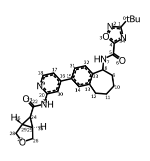 CC(C)(C)c1noc(C(=O)NC2CCCCc3cc(-c4ccnc(NC(=O)C5[C@H]6COC[C@H]56)c4)ccc32)n1